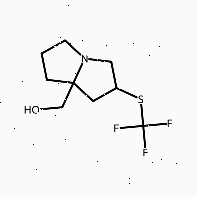 OCC12CCCN1CC(SC(F)(F)F)C2